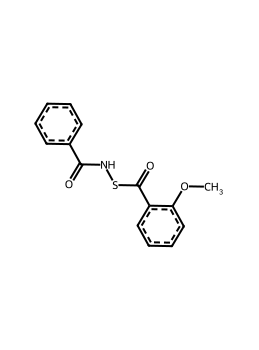 COc1ccccc1C(=O)SNC(=O)c1ccccc1